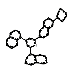 c1ccc(-c2ccc3cc(-c4cc(-c5cccc6ccccc56)nc(-c5cccc6ccccc56)n4)ccc3c2)cc1